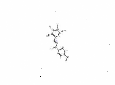 CSc1ccc(C(=O)/C=C/c2cc(F)c(F)c(F)c2F)cc1